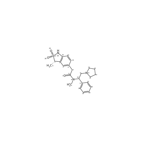 C[C@H]1c2cc(CC(=O)N(C)C(CN3CCCC3)c3ccccc3)ccc2NS1(=O)=O